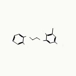 Cc1cc(O)cc(OCCOc2ccccc2Cl)c1C(=O)O